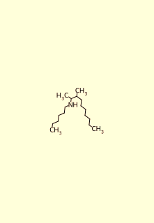 CCCCCCCC(C)C(C)NCCCCCC